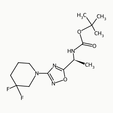 C[C@H](NC(=O)OC(C)(C)C)c1nc(N2CCCC(F)(F)C2)no1